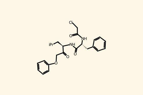 CC(C)C[C@@H](NC(=O)[C@@H](Cc1ccccc1)NC(=O)CCl)C(=O)COc1ccccc1